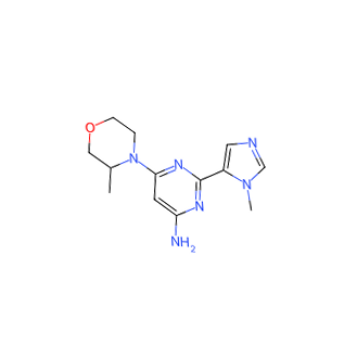 CC1COCCN1c1cc(N)nc(-c2cncn2C)n1